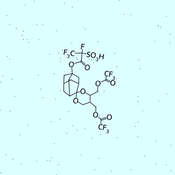 O=C(OCC1COC2(OC1COC(=O)C(F)(F)F)C1CC3CC2CC(OC(=O)C(F)(C(F)(F)F)S(=O)(=O)O)(C3)C1)C(F)(F)F